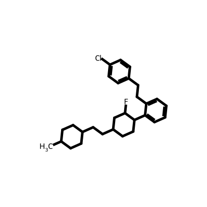 CC1CCC(CCC2CCC(c3ccccc3CCc3ccc(Cl)cc3)C(F)C2)CC1